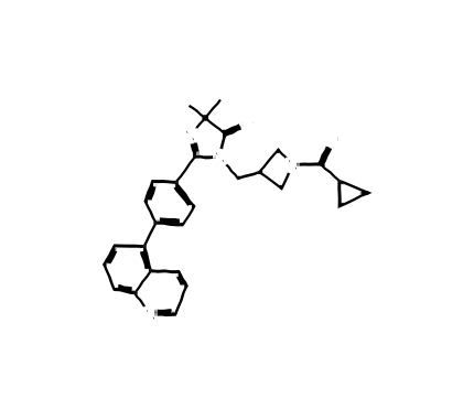 CC1(C)N=C(c2ccc(-c3cccc4ncccc34)cc2)N(CC2CN(C(=O)C3CC3)C2)C1=O